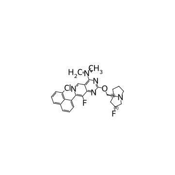 C=[N+](C)c1nc(OC[C@@]23CCCN2C[C@H](F)C3)nc2c(F)c(-c3cccc4cccc(Cl)c34)ncc12